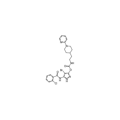 O=C(NCCC1CCN(c2ccccn2)CC1)Oc1n[nH]c(NC(=O)c2ccccc2Cl)c1Br